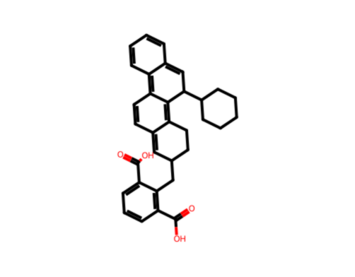 O=C(O)c1cccc(C(=O)O)c1CC1C=c2ccc3c(c2CC1)C(C1CCCCC1)C=c1ccccc1=3